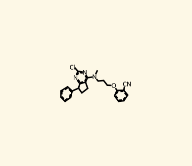 CN(CCCOc1ccccc1C#N)c1nc(Cl)nc2c1CCC2c1ccccc1